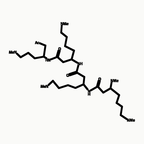 CNCCCCC(CC(=O)NC(CCCCNC)CC(=O)NC(CCCCNC)CC(=O)NC(CCCNC)CC(C)=O)NC